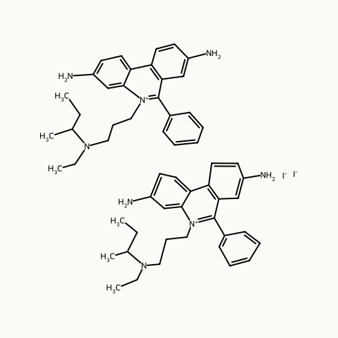 CCC(C)N(CC)CCC[n+]1c(-c2ccccc2)c2cc(N)ccc2c2ccc(N)cc21.CCC(C)N(CC)CCC[n+]1c(-c2ccccc2)c2cc(N)ccc2c2ccc(N)cc21.[I-].[I-]